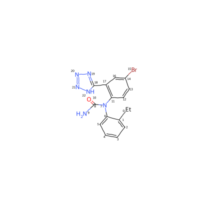 CCc1ccccc1N(C(N)=O)c1ccc(Br)cc1-c1nnn[nH]1